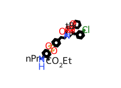 CCCNc1ccc(S(=O)(=O)c2ccc(CCN(C[C@@H](OC3CCCCO3)c3cccc(Cl)c3)C(=O)OC(C)(C)C)cc2)cc1C(=O)OCC